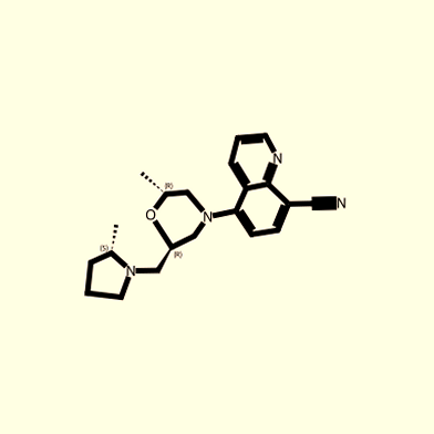 C[C@@H]1CN(c2ccc(C#N)c3ncccc23)C[C@@H](CN2CCC[C@@H]2C)O1